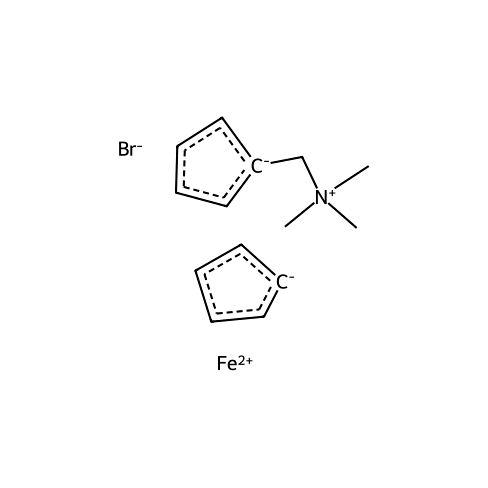 C[N+](C)(C)C[c-]1cccc1.[Br-].[Fe+2].c1cc[cH-]c1